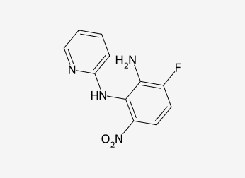 Nc1c(F)ccc([N+](=O)[O-])c1Nc1ccccn1